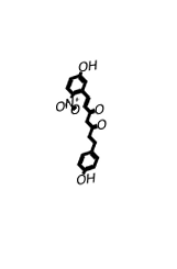 O=C(C=Cc1cc(O)ccc1[N+](=O)[O-])CC(=O)CCc1ccc(O)cc1